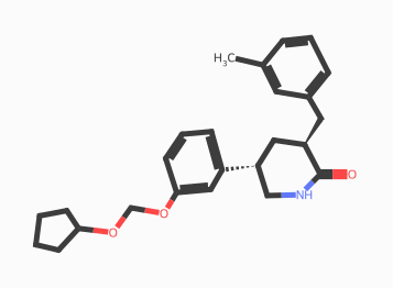 Cc1cccc(C[C@@H]2C[C@@H](c3cccc(OCOC4CCCC4)c3)CNC2=O)c1